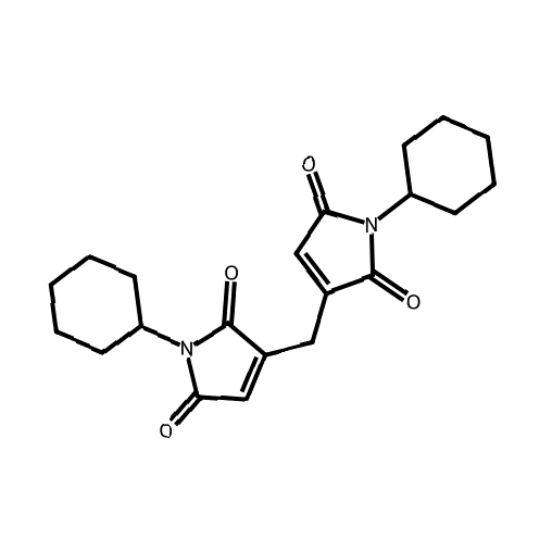 O=C1C=C(CC2=CC(=O)N(C3CCCCC3)C2=O)C(=O)N1C1CCCCC1